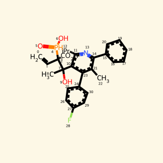 C=CC(C(=O)O)([PH](=O)O)C(C)(O)c1c(C(C)C)nc(-c2ccccc2)c(C)c1-c1ccc(F)cc1